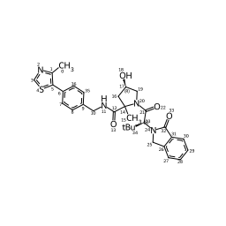 Cc1ncsc1-c1ccc(CNC(=O)C2(C)C[C@@H](O)CN2C(=O)[C@@H](N2Cc3ccccc3C2=O)C(C)(C)C)cc1